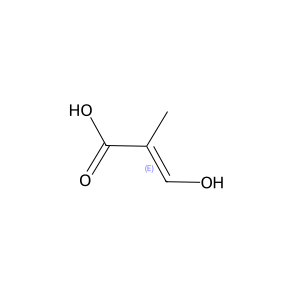 C/C(=C\O)C(=O)O